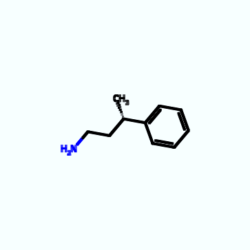 C[C@@H](CCN)c1ccccc1